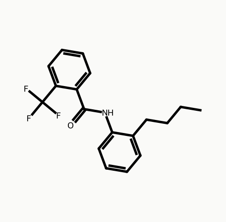 CCCCc1ccccc1NC(=O)c1ccccc1C(F)(F)F